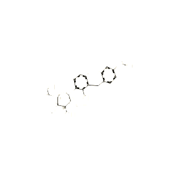 CCOc1ccc(Cc2cccc([C@@H]3O[C@H](CO)[C@@H](O)[C@H](O)[C@H]3O)c2Cl)cc1